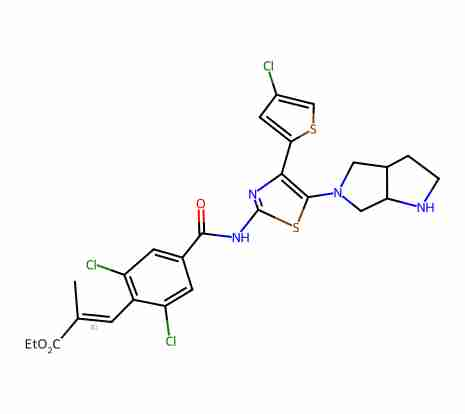 CCOC(=O)/C(C)=C/c1c(Cl)cc(C(=O)Nc2nc(-c3cc(Cl)cs3)c(N3CC4CCNC4C3)s2)cc1Cl